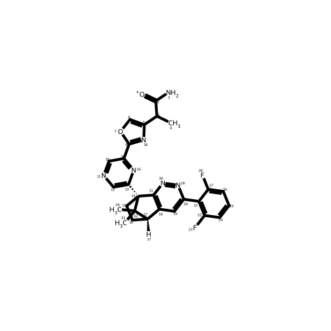 CC(C(N)=O)c1coc(-c2cncc([C@]34CC[C@@H](c5cc(-c6c(F)cccc6F)nnc53)C4(C)C)n2)n1